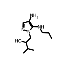 CCCNc1c(N)cnn1CC(O)C(C)C